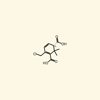 CC1(C)C(C(=O)O)=C(CCl)C=C[C@@H]1C(=O)O